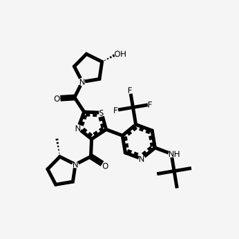 C[C@H]1CCCN1C(=O)c1nc(C(=O)N2CC[C@H](O)C2)sc1-c1cnc(NC(C)(C)C)cc1C(F)(F)F